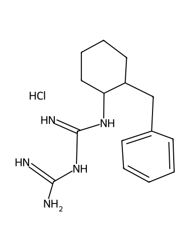 Cl.N=C(N)NC(=N)NC1CCCCC1Cc1ccccc1